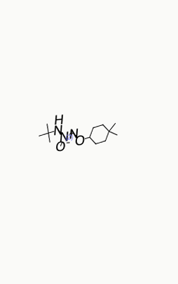 CC1(C)CCC(O/N=[N+](\[O-])NC(C)(C)C)CC1